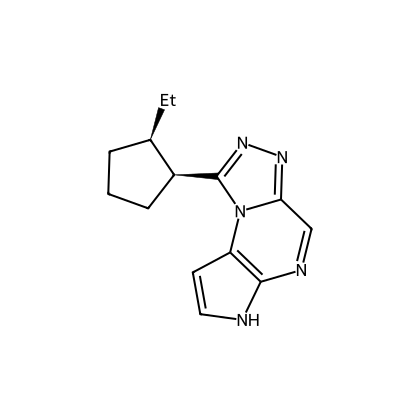 CC[C@@H]1CCC[C@@H]1c1nnc2cnc3[nH]ccc3n12